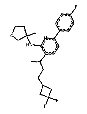 CC(CCC1CC(F)(F)C1)c1ccc(-c2ccc(F)cc2)nc1NC1(C)CCOC1